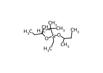 CCC(C)O[Si](CC)(OC(C)CC)C(C)(C)C